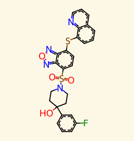 O=S(=O)(c1ccc(Sc2cccc3cccnc23)c2nonc12)N1CCC(O)(c2cccc(F)c2)CC1